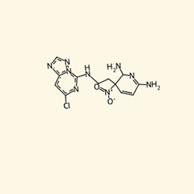 NC1=NC(N)C(CCNc2nc(Cl)cc3ncnn23)([N+](=O)[O-])C=C1